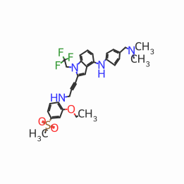 CCOc1cc(S(C)(=O)=O)ccc1NCC#Cc1cc2c(Nc3ccc(CN(C)C)cc3)cccc2n1CC(F)(F)F